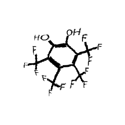 Oc1c(O)c(C(F)(F)F)c(C(F)(F)F)c(C(F)(F)F)c1C(F)(F)F